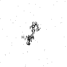 CN(CC[S+](C)[O-])C(=O)c1cc(N2CCN(CCn3cnc4c3nc(N)n3nc(-c5ccco5)nc43)CC2)c(F)cc1F